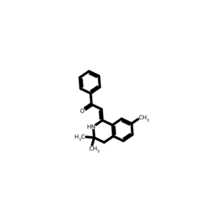 Cc1ccc2c(c1)/C(=C/C(=O)c1ccccc1)NC(C)(C)C2